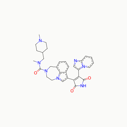 CN1CCC(CN(C)C(=O)N2CCn3cc(C4=C(c5cnc6ccccn56)C(=O)NC4=O)c4cccc(c43)C2)CC1